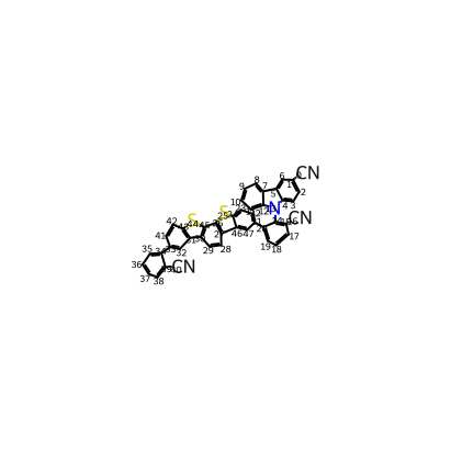 N#Cc1ccc2c(c1)c1ccccc1n2-c1c(C#N)cccc1-c1ccc2sc3c(ccc4c5cc(-c6ccccc6C#N)ccc5sc43)c2c1